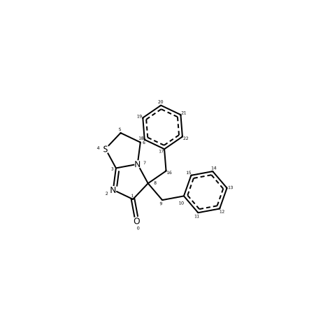 O=C1N=C2SCCN2C1(Cc1ccccc1)Cc1ccccc1